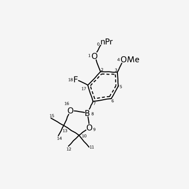 CCCOc1c(OC)ccc(B2OC(C)(C)C(C)(C)O2)c1F